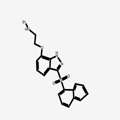 CCNCCOc1cccc2c(S(=O)(=O)c3cccc4ccccc34)n[nH]c12